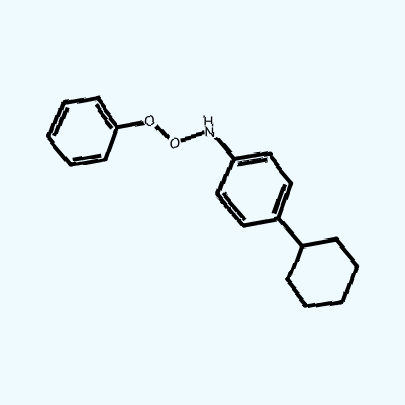 c1ccc(OONc2ccc(C3CCCCC3)cc2)cc1